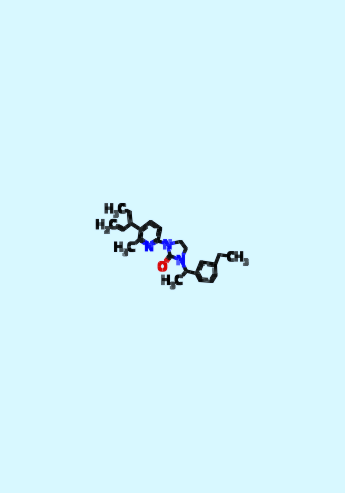 C=C/C(=C\C)c1ccc(N2CCN(C(C)c3cccc(CC)c3)C2=O)nc1C